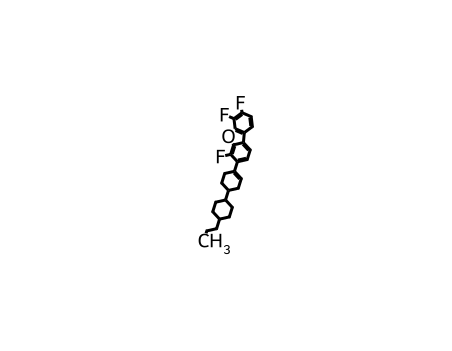 CCCC1CCC(C2CC=C(c3ccc4c(oc5c(F)c(F)ccc54)c3F)CC2)CC1